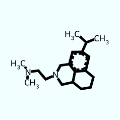 CC(C)c1cc2c3c(c1)CN(CCN(C)C)CC3CCC2